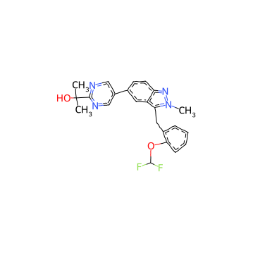 Cn1nc2ccc(-c3cnc(C(C)(C)O)nc3)cc2c1Cc1ccccc1OC(F)F